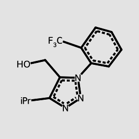 CC(C)c1nnn(-c2ccccc2C(F)(F)F)c1CO